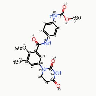 COc1c(C(=O)Nc2ccc(NC(=O)OC(C)(C)C)cc2)cc(N2CCC(=O)NC2=O)cc1C(C)(C)C